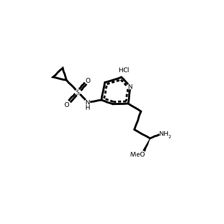 CO[C@H](N)CCc1cc(NS(=O)(=O)C2CC2)ccn1.Cl